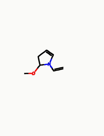 C=CN1C=CCC1OC